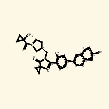 CC1(C(=O)N2CC[C@@H](CN3C(=O)C4(CC4)N=C3c3ccc(-c4ccc5cc(F)ccc5c4)cc3F)C2)CC1